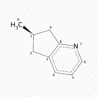 C[C@@H]1Cc2cccnc2C1